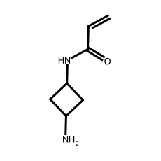 C=CC(=O)NC1CC(N)C1